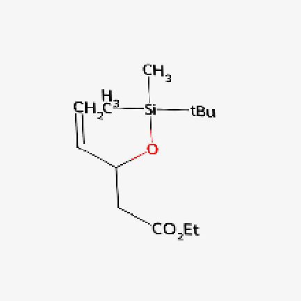 C=CC(CC(=O)OCC)O[Si](C)(C)C(C)(C)C